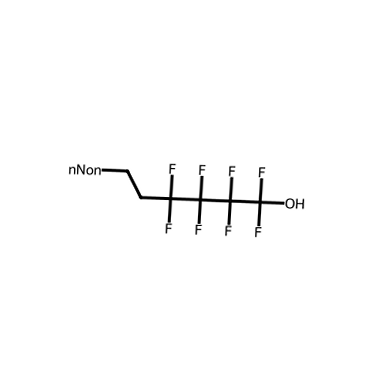 CCCCCCCCCCCC(F)(F)C(F)(F)C(F)(F)C(O)(F)F